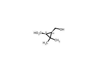 CC1(C)[C@H](CO)[C@@H]1C(=O)O